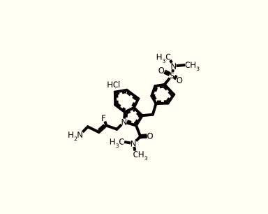 CN(C)C(=O)c1c(Cc2ccc(S(=O)(=O)N(C)C)cc2)c2ccccc2n1CC(F)=CCN.Cl